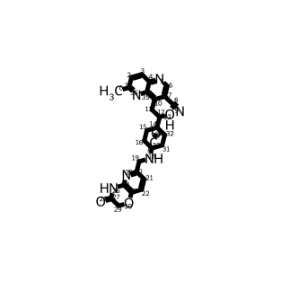 Cc1ccc2ncc(C#N)c(CC(O)C34CCC(NCc5ccc6c(n5)NC(=O)CO6)(CC3)CO4)c2n1